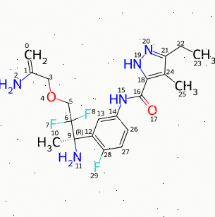 C=C(N)COCC(F)(F)[C@](C)(N)c1cc(NC(=O)c2[nH]nc(CC)c2C)ccc1F